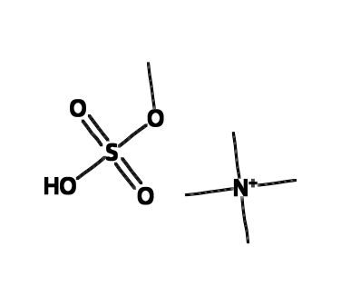 COS(=O)(=O)O.C[N+](C)(C)C